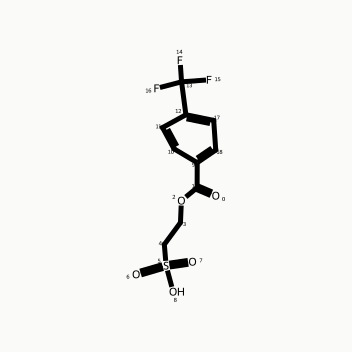 O=C(OCCS(=O)(=O)O)c1ccc(C(F)(F)F)cc1